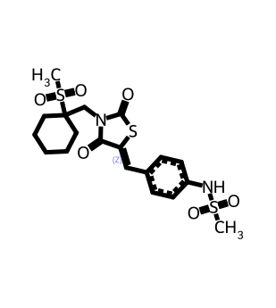 CS(=O)(=O)Nc1ccc(/C=C2\SC(=O)N(CC3(S(C)(=O)=O)CCCCC3)C2=O)cc1